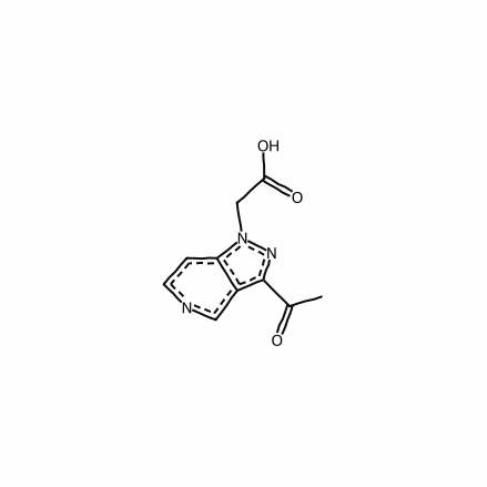 CC(=O)c1nn(CC(=O)O)c2ccncc12